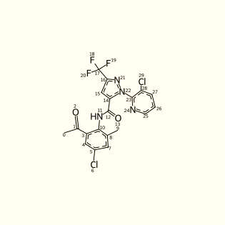 CC(=O)c1cc(Cl)cc(C)c1NC(=O)c1cc(C(F)(F)F)nn1-c1ncccc1Cl